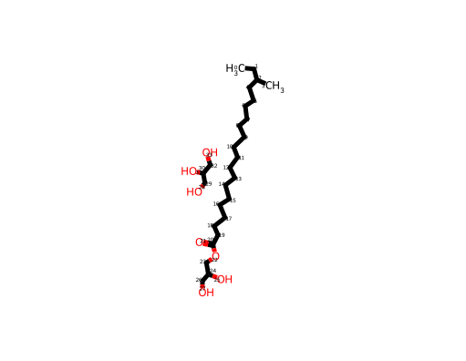 CCC(C)CCCCCCCCCCCCCCCCC(=O)OCC(O)CO.OCC(O)CO